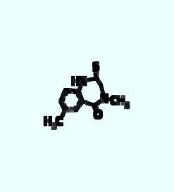 Cc1ccc2c(c1)C(=O)N(C)CC(=S)N2